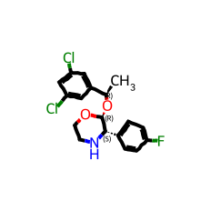 C[C@@H](O[C@H]1OCCN[C@H]1c1ccc(F)cc1)c1cc(Cl)cc(Cl)c1